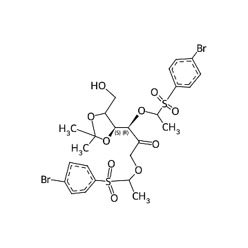 CC(OCC(=O)[C@H](OC(C)S(=O)(=O)c1ccc(Br)cc1)[C@H]1OC(C)(C)OC1CO)S(=O)(=O)c1ccc(Br)cc1